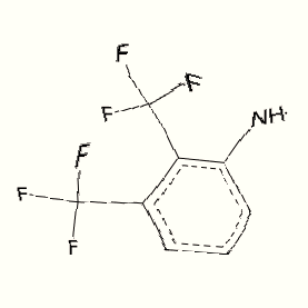 [NH]c1cccc(C(F)(F)F)c1C(F)(F)F